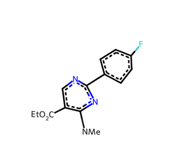 CCOC(=O)c1cnc(-c2ccc(F)cc2)nc1NC